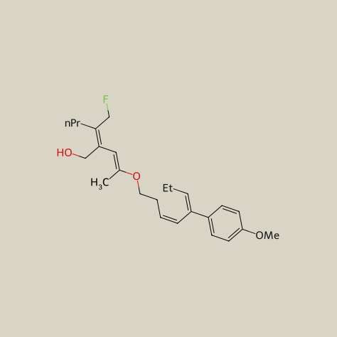 CC/C=C(\C=C/CCO/C(C)=C/C(CO)=C(\CF)CCC)c1ccc(OC)cc1